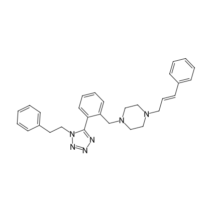 C(=Cc1ccccc1)CN1CCN(Cc2ccccc2-c2nnnn2CCc2ccccc2)CC1